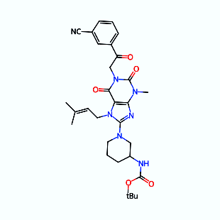 CC(C)=CCn1c(N2CCCC(NC(=O)OC(C)(C)C)C2)nc2c1c(=O)n(CC(=O)c1cccc(C#N)c1)c(=O)n2C